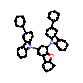 c1ccc(-c2ccc3c(c2)c2ccccc2n3-c2cc(-n3c4ccccc4c4cc(-c5ccccc5)ccc43)c3oc4ccccc4c3c2)cc1